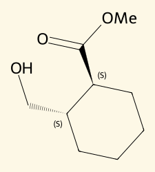 COC(=O)[C@H]1CCCC[C@@H]1CO